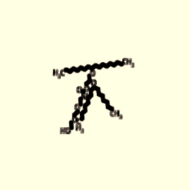 CCCCCCCCCC(CCCCCCCC)OCC(COC(=O)NCCOCCOCCO)OC(CCCCCCCC)CCCCCCCCC